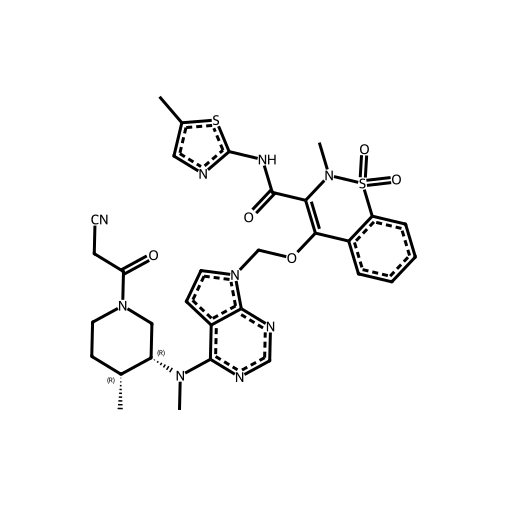 Cc1cnc(NC(=O)C2=C(OCn3ccc4c(N(C)[C@H]5CN(C(=O)CC#N)CC[C@H]5C)ncnc43)c3ccccc3S(=O)(=O)N2C)s1